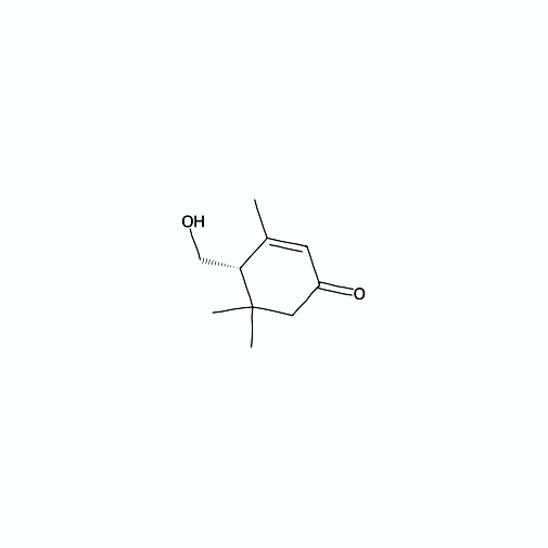 CC1=CC(=O)CC(C)(C)[C@@H]1CO